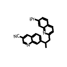 CC(C)c1ccc2ccc(CC(C)c3ccc4cc(C#N)cnc4c3)nc2c1